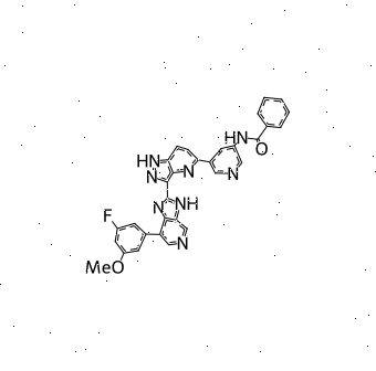 COc1cc(F)cc(-c2cncc3[nH]c(-c4n[nH]c5ccc(-c6cncc(NC(=O)c7ccccc7)c6)nc45)nc23)c1